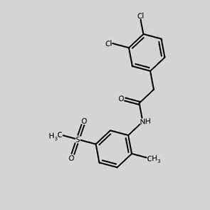 Cc1ccc(S(C)(=O)=O)cc1NC(=O)Cc1ccc(Cl)c(Cl)c1